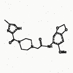 COc1cc2c(cc1NC(=O)CN1CCN(C(=O)c3nc(C)c[nH]3)CC1)OCO2